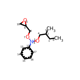 CCC(C)CON(OCC1CO1)c1ccccc1